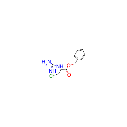 N=C(N)NC(CCl)C(=O)OCc1ccccc1